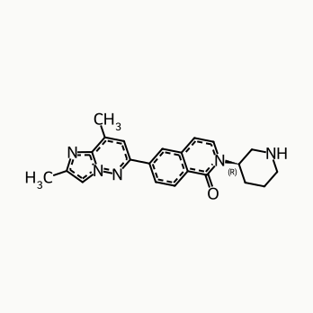 Cc1cn2nc(-c3ccc4c(=O)n([C@@H]5CCCNC5)ccc4c3)cc(C)c2n1